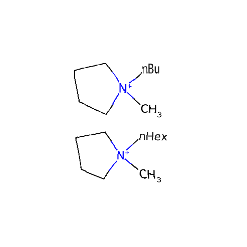 CCCCCC[N+]1(C)CCCC1.CCCC[N+]1(C)CCCC1